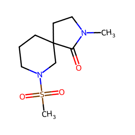 CN1CCC2(CCCN(S(C)(=O)=O)C2)C1=O